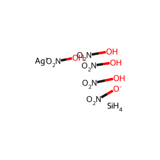 O=[N+]([O-])O.O=[N+]([O-])O.O=[N+]([O-])O.O=[N+]([O-])O.O=[N+]([O-])[O-].[Ag+].[SiH4]